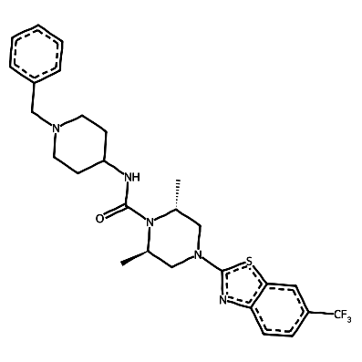 C[C@@H]1CN(c2nc3ccc(C(F)(F)F)cc3s2)C[C@@H](C)N1C(=O)NC1CCN(Cc2ccccc2)CC1